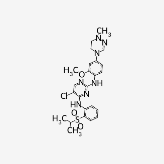 COc1cc(N2C=NN(C)CC2)ccc1Nc1ncc(Cl)c(Nc2ccccc2S(=O)(=O)C(C)C)n1